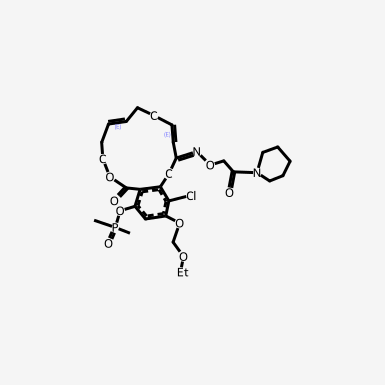 CCOCOc1cc(OP(C)(C)=O)c2c(c1Cl)CC(=NOCC(=O)N1CCCCC1)/C=C/CC/C=C/CCOC2=O